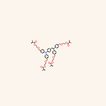 C=C(C)C(=O)OCCOCc1ccc(C(=Cc2ccc(N(c3ccc(COCCOC(=O)C(=C)C)cc3)c3ccc(COCCOC(=O)C(=C)C)cc3)cc2)c2ccc(COCCOC(=O)C(=C)C)cc2)cc1